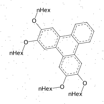 CCCCCCOc1cc2c3ccccc3c3cc(OCCCCCC)c(OCCCCCC)cc3c2cc1OCCCCCC